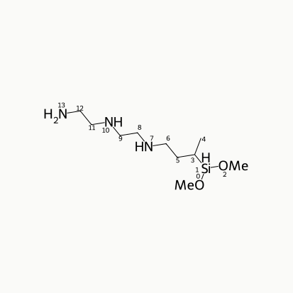 CO[SiH](OC)C(C)CCNCCNCCN